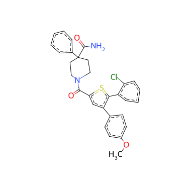 COc1ccc(-c2cc(C(=O)N3CCC(C(N)=O)(c4ccccc4)CC3)sc2-c2ccccc2Cl)cc1